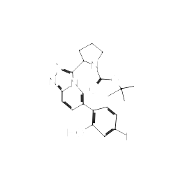 CC(C)(C)OC(=O)N1CCCC1c1nnc2ccc(-c3ccc(F)cc3O)cn12